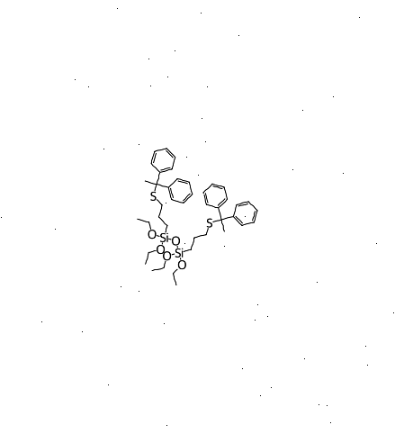 CCO[Si](CCCSC(C)(c1ccccc1)c1ccccc1)(OCC)O[Si](CCCSC(C)(c1ccccc1)c1ccccc1)(OCC)OCC